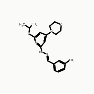 Cc1cccc(C=NNc2cc(N3CCOCC3)cc(OC(C)C)n2)c1